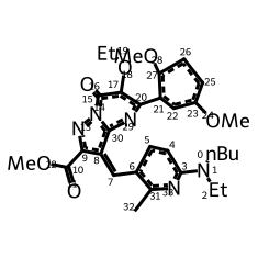 CCCCN(CC)c1ccc(/C=c2/c(C(=O)OC)nn3c(=O)c(OCC)c(-c4cc(OC)ccc4OC)nc23)c(C)n1